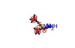 CCO[Si](CCCSSSSC(CC[Si](OCC)(OCC)OCC)C(=O)[C@@H](N)Cc1c[nH]cn1)(OCC)OCC